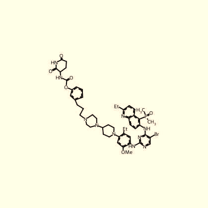 CCc1ccc2c(P(C)(C)=O)c(Nc3nc(Nc4cc(CC)c(N5CCC(N6CCN(CCCc7cccc(OC(=O)NC8CCC(=O)NC8=O)c7)CC6)CC5)cc4OC)ncc3Br)ccc2n1